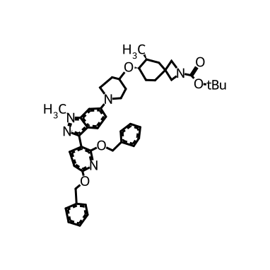 C[C@H]1CC2(CC[C@@H]1OC1CCN(c3ccc4c(-c5ccc(OCc6ccccc6)nc5OCc5ccccc5)nn(C)c4c3)CC1)CN(C(=O)OC(C)(C)C)C2